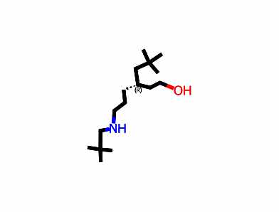 CC(C)(C)CNCCC[C@@H](CCO)CC(C)(C)C